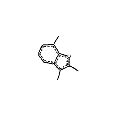 Cc1oc2c(C)cccc2c1C